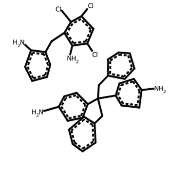 Nc1ccc(C(Cc2ccccc2)(Cc2ccccc2)c2ccc(N)cc2)cc1.Nc1ccccc1Cc1c(N)c(Cl)cc(Cl)c1Cl